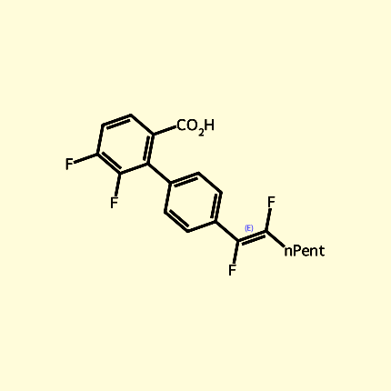 CCCCC/C(F)=C(\F)c1ccc(-c2c(C(=O)O)ccc(F)c2F)cc1